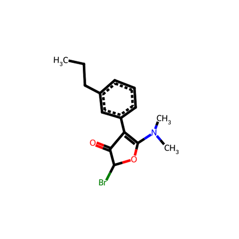 CCCc1cccc(C2=C(N(C)C)OC(Br)C2=O)c1